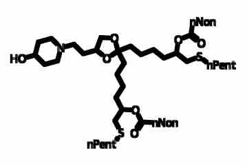 CCCCCCCCCC(=O)OC(CCCCC1(CCCCC(CSCCCCC)OC(=O)CCCCCCCCC)OCC(CCN2CCC(O)CC2)O1)CSCCCCC